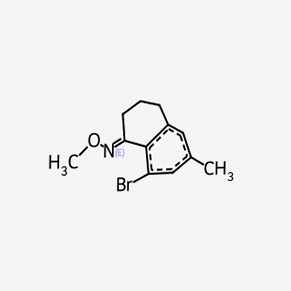 CO/N=C1\CCCc2cc(C)cc(Br)c21